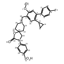 CCOc1cc(-c2ccc(F)cc2)c(C2CC2)nc1CN1CCC2(CC1)CN(c1ccc(S(=O)(=O)O)cc1)C(=O)O2